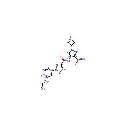 NC(=O)c1nn(C2CNC2)cc1NC(=O)c1coc(-c2ccnc(NCC(F)(F)F)c2)n1